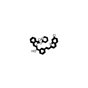 CC(C)(OC1CCCCO1)c1ccccc1CC[C@@H](O)c1cccc(C=Cc2ccc3ccc(Cl)cc3n2)c1